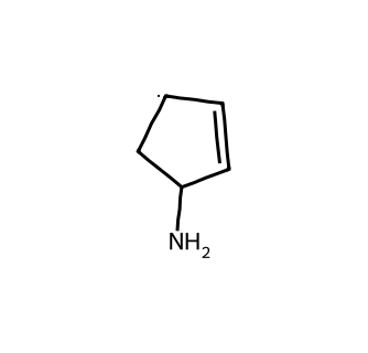 NC1C=C[CH]C1